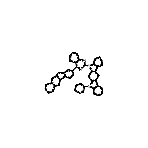 c1ccc(-n2c3ccccc3c3cc4c5ccccc5n(-c5nc(-c6ccc7c(c6)sc6cc8ccccc8cc67)c6ccccc6n5)c4cc32)cc1